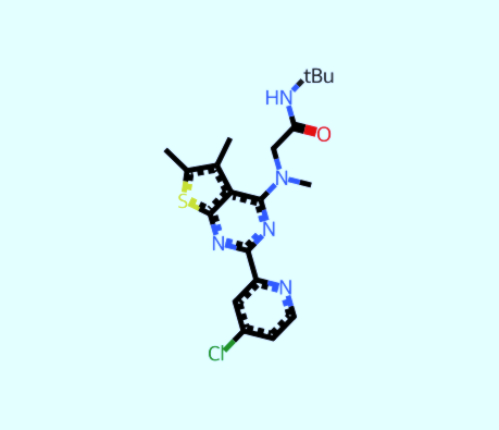 Cc1sc2nc(-c3cc(Cl)ccn3)nc(N(C)CC(=O)NC(C)(C)C)c2c1C